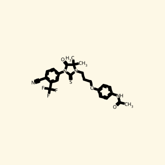 CC(=O)Nc1ccc(OCCCN2C(=S)N(c3ccc(C#N)c(C(F)(F)F)c3)C(=O)C2(C)C)cc1